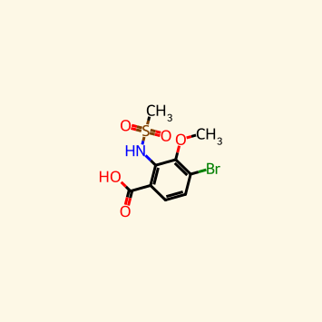 COc1c(Br)ccc(C(=O)O)c1NS(C)(=O)=O